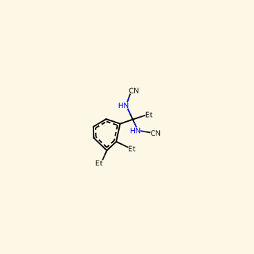 CCc1cccc(C(CC)(NC#N)NC#N)c1CC